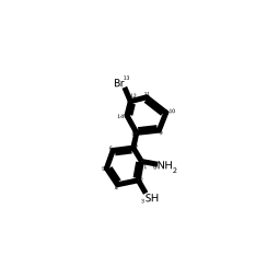 Nc1c(S)cccc1-c1cccc(Br)c1